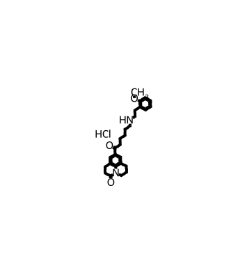 COc1ccccc1CCNCCCCCC(=O)c1cc2c3c(c1)CCC(=O)N3CCC2.Cl